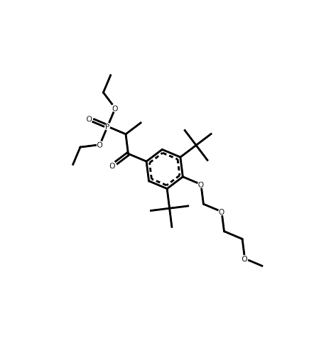 CCOP(=O)(OCC)C(C)C(=O)c1cc(C(C)(C)C)c(OCOCCOC)c(C(C)(C)C)c1